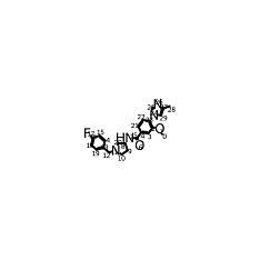 COc1cc(C(=O)NC2CCN(Cc3ccc(F)cc3)C2)ccc1-n1cnc(C)c1